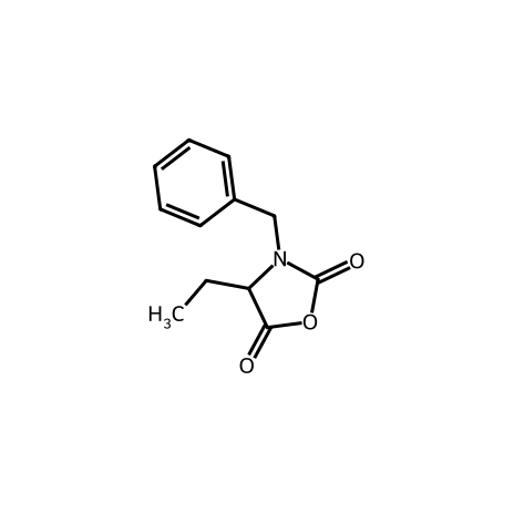 CCC1C(=O)OC(=O)N1Cc1ccccc1